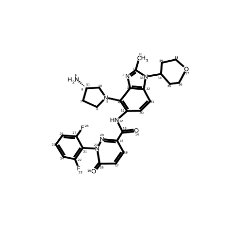 Cc1nc2c(N3CC[C@H](N)C3)c(NC(=O)c3ccc(=O)n(-c4c(F)cccc4F)n3)ccc2n1C1CCOCC1